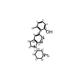 Cc1cccc(O)c1-c1cc2c(nn1)N([C@H]1CCCN(C)C1)CC2